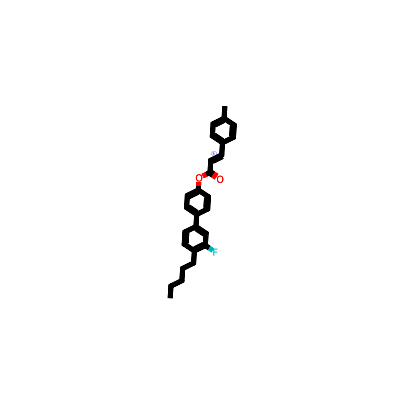 CCCCCc1ccc(-c2ccc(OC(=O)/C=C/c3ccc(C)cc3)cc2)cc1F